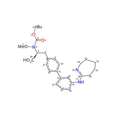 CCCCOC(=O)N(OC)[C@@H](Cc1ccc(-c2cccc(NC3=NCCCCC3)c2)cc1)C(=O)O